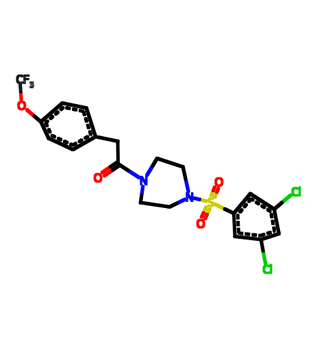 O=C(Cc1ccc(OC(F)(F)F)cc1)N1CCN(S(=O)(=O)c2cc(Cl)cc(Cl)c2)CC1